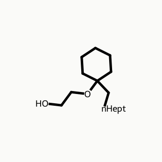 CCCCCCCCC1(OCCO)CCCCC1